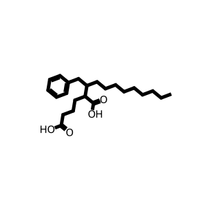 CCCCCCCCCC(Cc1ccccc1)C(CCCC(=O)O)C(=O)O